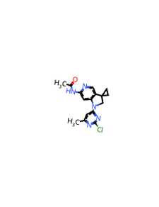 CC(=O)Nc1cc2c(cn1)C1(CC1)CN2c1cc(C)nc(Cl)n1